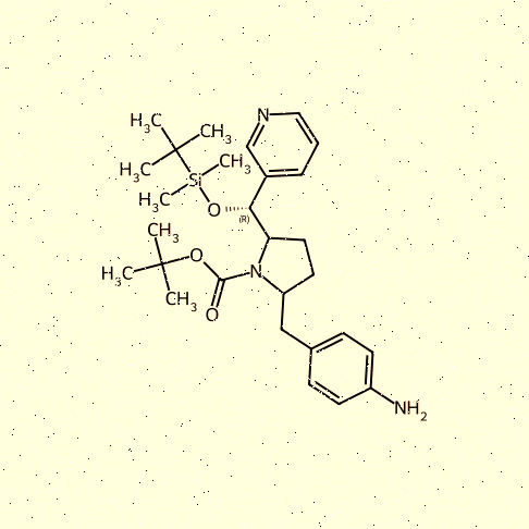 CC(C)(C)OC(=O)N1C(Cc2ccc(N)cc2)CCC1[C@H](O[Si](C)(C)C(C)(C)C)c1cccnc1